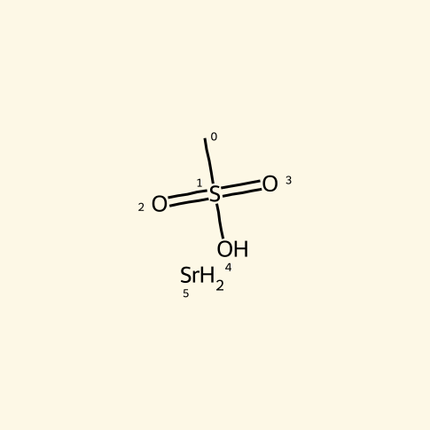 CS(=O)(=O)O.[SrH2]